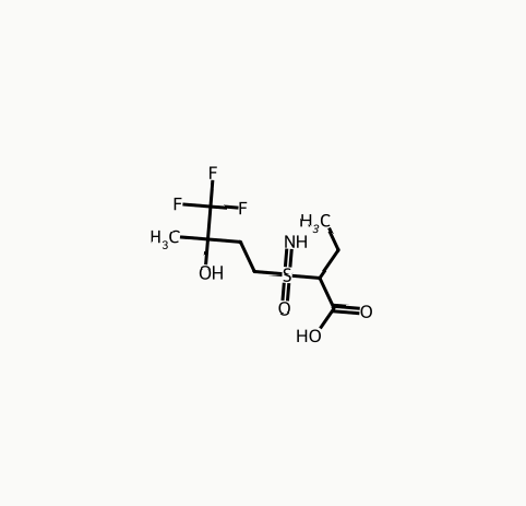 CCC(C(=O)O)S(=N)(=O)CCC(C)(O)C(F)(F)F